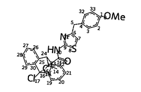 COc1ccc(Cc2csc(NC(=O)C3(C)CC4(Cl)c5ccccc5C3c3ccccc34)n2)cc1